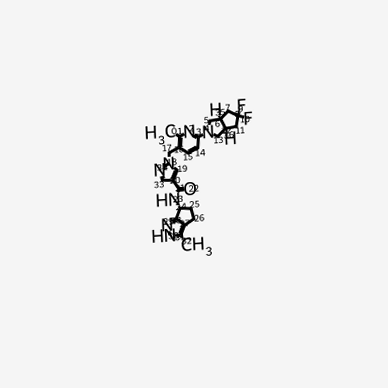 Cc1nc(N2C[C@@H]3CC(F)(F)C[C@@H]3C2)ccc1Cn1cc(C(=O)N[C@@H]2CCc3c2n[nH]c3C)cn1